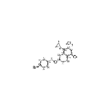 O=c1cc(C(F)(F)F)n(C2CC2)c2cc(OCc3ccc(Br)cc3)ccc12